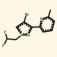 Cc1cccc(-c2nn(CC(F)F)cc2Br)n1